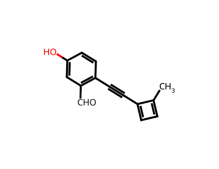 CC1=CC=C1C#Cc1ccc(O)cc1C=O